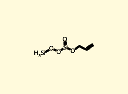 C=CCO[Si](=O)OO[SiH3]